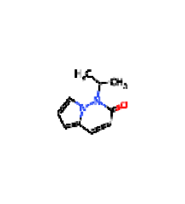 CC(C)n1c(=O)ccc2cccn21